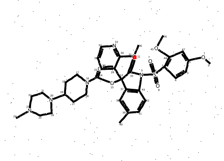 COc1ccc(S(=O)(=O)N2C(=O)C(OC(=O)N3CCC(N4CCN(C)CC4)CC3)(c3cccnc3OC)c3cc(C)ccc32)c(OC)c1